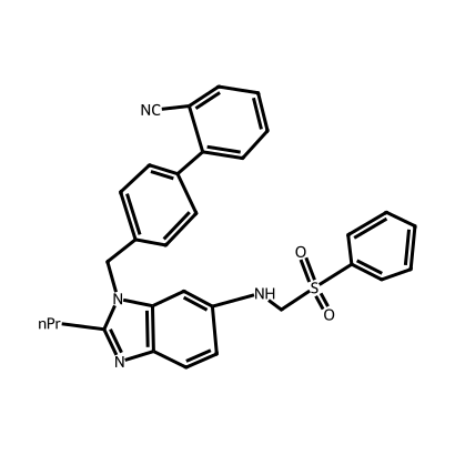 CCCc1nc2ccc(NCS(=O)(=O)c3ccccc3)cc2n1Cc1ccc(-c2ccccc2C#N)cc1